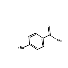 CCCCc1ccc(C(=O)C(C)(C)C)cc1